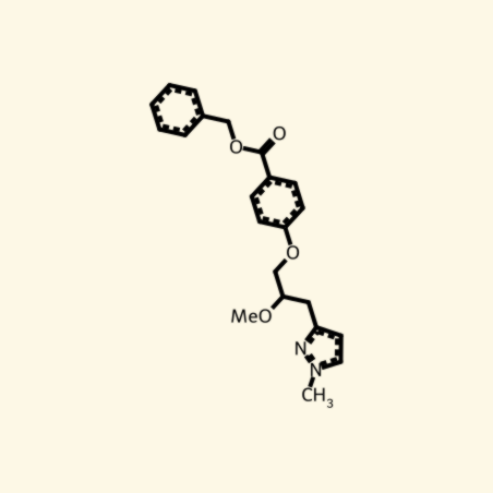 COC(COc1ccc(C(=O)OCc2ccccc2)cc1)Cc1ccn(C)n1